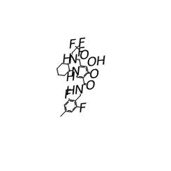 Cc1cc(F)c(CNC(=O)c2cn3c(c(O)c2=O)C(=O)N(CC(F)(F)F)[C@@H]2CCCC[C@H]23)c(F)c1